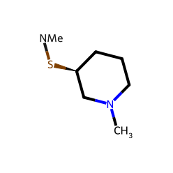 CNS[C@H]1CCCN(C)C1